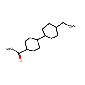 COCC1CCC(C2CCC(C(=O)OC)CC2)CC1